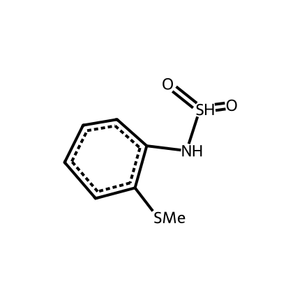 CSc1ccccc1N[SH](=O)=O